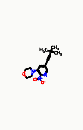 C[Si](C)(C)C#Cc1cnc([N+](=O)[O-])c(N2CCOCC2)c1